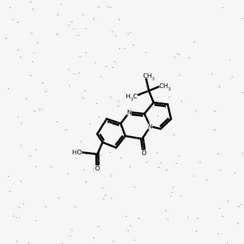 CC(C)(C)c1cccn2c(=O)c3cc(C(=O)O)ccc3nc12